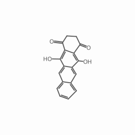 O=C1CCC(=O)c2c1c(O)c1cc3ccccc3cc1c2O